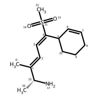 C/C(=C\C=C(/C1C=CCCC1)S(C)(=O)=O)[C@@H](C)N